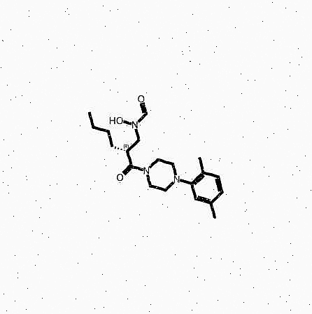 CCCC[C@H](CN(O)C=O)C(=O)N1CCN(c2cc(C)ccc2C)CC1